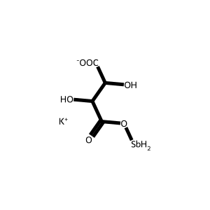 O=C([O-])C(O)C(O)C(=O)[O][SbH2].[K+]